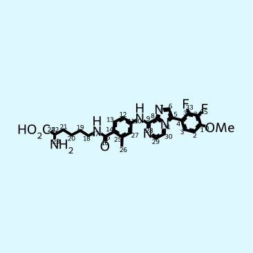 COc1ccc(-c2cnc3c(Nc4ccc(C(=O)NCCCCC(N)C(=O)O)c(C)c4)nccn23)c(F)c1F